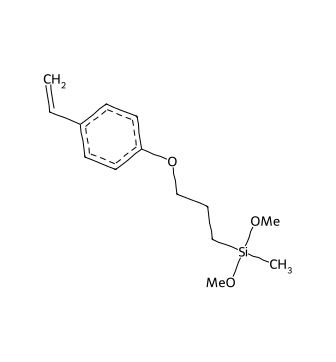 C=Cc1ccc(OCCC[Si](C)(OC)OC)cc1